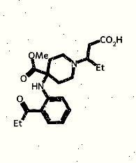 CCC(=O)c1ccccc1NC1(C(=O)OC)CCN(C(CC)CC(=O)O)CC1